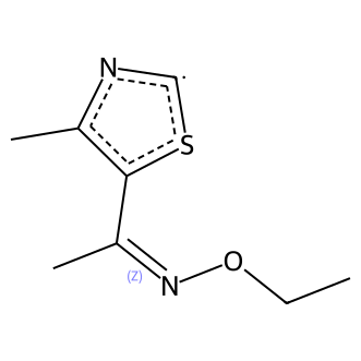 CCO/N=C(/C)c1s[c]nc1C